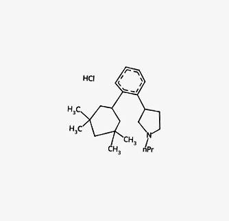 CCCN1CCC(c2ccccc2C2CC(C)(C)CC(C)(C)C2)C1.Cl